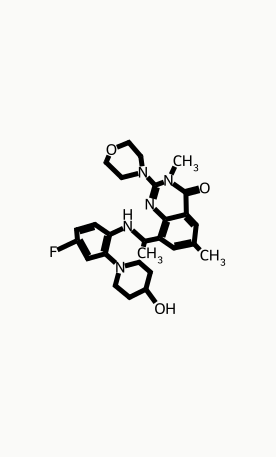 Cc1cc(C(C)Nc2ccc(F)cc2N2CCC(O)CC2)c2nc(N3CCOCC3)n(C)c(=O)c2c1